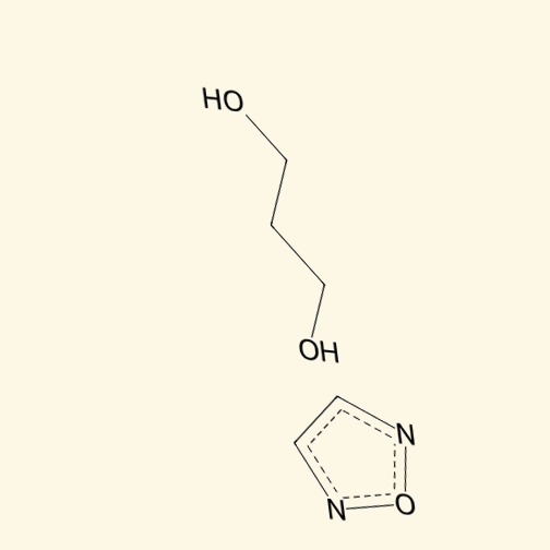 OCCCO.c1cnon1